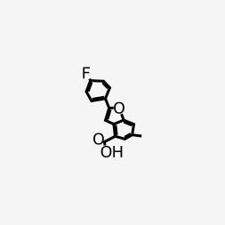 Cc1cc(C(=O)O)c2cc(-c3ccc(F)cc3)oc2c1